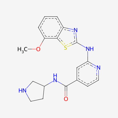 COc1cccc2nc(Nc3cc(C(=O)NC4CCNC4)ccn3)sc12